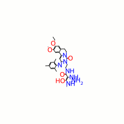 CCOc1cc2c(cc1OC)-c1c/c(=N\c3c(C)cc(C)cc3C)n(CCNC(=O)/C(NN)=C(\O)NC)c(=O)n1CC2